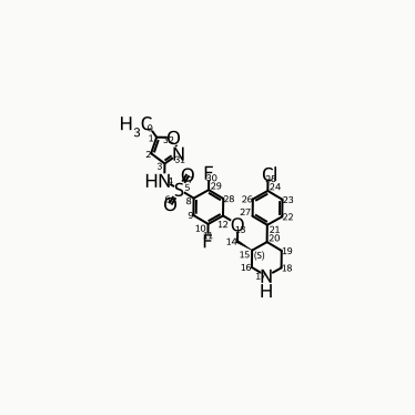 Cc1cc(NS(=O)(=O)c2cc(F)c(OC[C@@H]3CNCCC3c3ccc(Cl)cc3)cc2F)no1